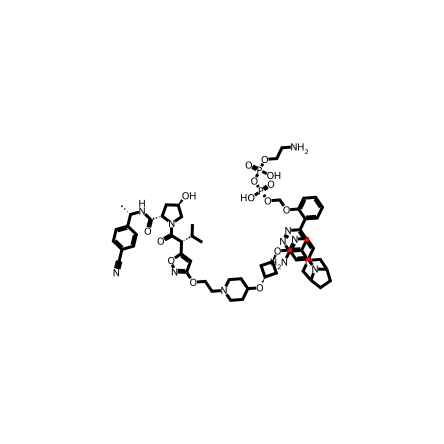 CC(C)[C@@H](C(=O)N1C[C@H](O)C[C@H]1C(=O)N[C@@H](C)c1ccc(C#N)cc1)c1cc(OCCN2CCC(O[C@H]3C[C@H](Oc4cc(N5C6CCC5CN(c5cc(-c7ccccc7OCOP(=O)(O)OP(=O)(O)OCCN)nnc5N)C6)ccn4)C3)CC2)no1